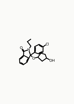 CCCN1C(=O)c2ccccc2C1(OC1CCC(O)C1)c1ccc(Cl)cc1